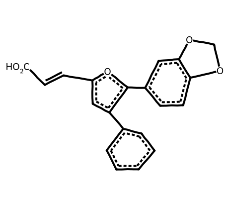 O=C(O)/C=C/c1cc(-c2ccccc2)c(-c2ccc3c(c2)OCO3)o1